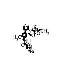 C=CC(=O)N(C)C1COCCN(c2cnccc2-c2ccc(CNC(=O)c3cn(C(C)(C)C)nn3)c(C)c2)C1